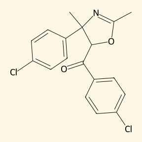 CC1=NC(C)(c2ccc(Cl)cc2)C(C(=O)c2ccc(Cl)cc2)O1